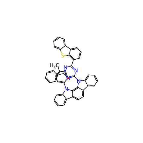 Cc1ccc(-n2c3ccccc3c3ccc4c5ccccc5n(-c5nc(-c6ccccc6)nc(-c6cccc7c6sc6ccccc67)n5)c4c32)cc1